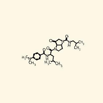 CC(C)CNC(=O)N1CC(=O)C2C1CCN2C(=O)C(CC(C)C)NC(=O)c1ccc(N(C)C)cc1